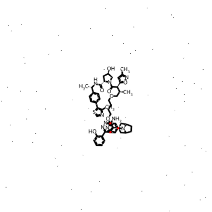 Cc1cc([C@H](C(=O)N2C[C@H](O)C[C@H]2C(=O)N[C@@H](C)c2ccc(-c3scnc3C)cc2)[C@@H](C)COCCCCOc2cc(N3C4CCC3CN(c3cc(-c5ccccc5O)nnc3N)C4)ccn2)on1